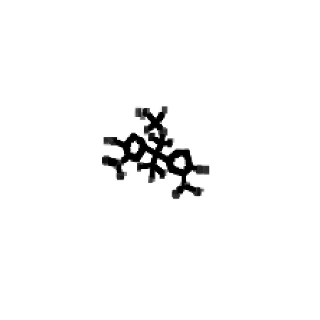 CC(F)(F)OC(F)(F)C(c1ccc(O)c([N+](=O)[O-])c1)(c1ccc(O)c([N+](=O)[O-])c1)C(F)(F)F